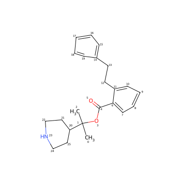 CC(C)(OC(=O)c1ccccc1CCc1ccccc1)C1CCNCC1